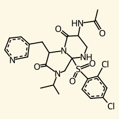 CC(=O)NC1CNC2(S(=O)(=O)c3ccc(Cl)cc3Cl)CN(C(C)C)C(=O)C(Cc3cccnc3)N2C1=O